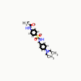 CCN(CC)c1ccc(CNS(=O)(=O)c2ccc(NC(C)=O)cc2)cc1